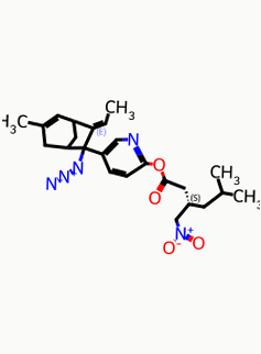 C/C=C1\C2C=C(C)CC(C2)C1(N=[N+]=[N-])c1ccc(OC(=O)C[C@H](CC(C)C)C[N+](=O)[O-])nc1